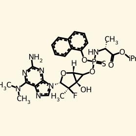 CC(C)OC(=O)[C@@H](C)NP(=S)(Oc1cccc2ccccc12)OC1[C@H]2O[C@@H](n3cnc4c(N(C)C)nc(N)nc43)[C@](C)(F)[C@@]12O